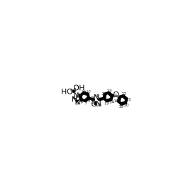 OC(O)n1nnc2cc(-c3nc(-c4ccc(Oc5ccccc5)cc4)no3)ccc21